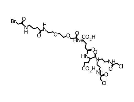 O=C(O)CCC(NC(=O)CC[C@H](NC(=O)COCCOCCNC(=O)CCCNC(=O)CBr)C(=O)O)C(=O)N(CCNC(=O)CCl)CCNC(=O)CCl